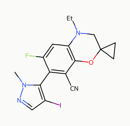 CCN1CC2(CC2)Oc2c1cc(F)c(-c1c(I)cnn1C)c2C#N